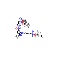 Cc1nn(CCCCCCCCNC(=O)OC(C)(C)C)c2cc(C(=O)Nc3cc4c(cn3)cc([C@H]3CCCN3C)n4C(=O)OC(C)(C)C)ccc12